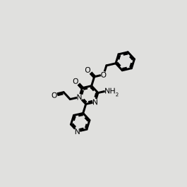 Nc1nc(-c2ccncc2)n(CC=O)c(=O)c1C(=O)OCc1ccccc1